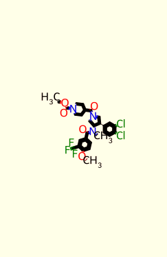 CCOC(=O)N1CCC(C(=O)N2C[C@H](c3ccc(Cl)c(Cl)c3)[C@@H](N(C)C(=O)c3ccc(OC)c(C(F)(F)F)c3)C2)CC1